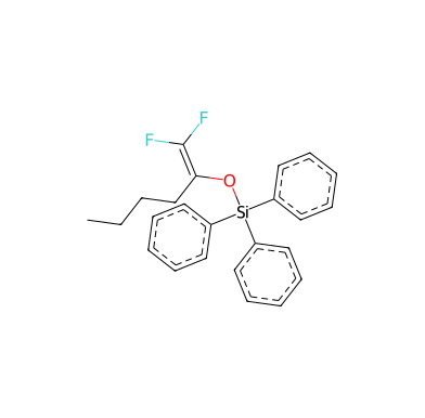 CCCCC(O[Si](c1ccccc1)(c1ccccc1)c1ccccc1)=C(F)F